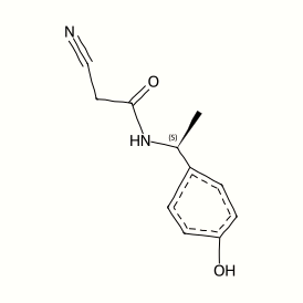 C[C@H](NC(=O)CC#N)c1ccc(O)cc1